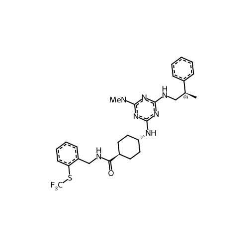 CNc1nc(NC[C@H](C)c2ccccc2)nc(N[C@H]2CC[C@H](C(=O)NCc3ccccc3SC(F)(F)F)CC2)n1